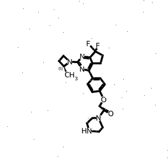 C[C@H]1CCN1c1nc(-c2ccc(OCC(=O)N3CCNCC3)cc2)c2c(n1)C(F)(F)CC2